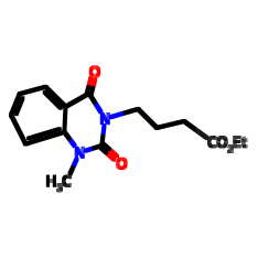 CCOC(=O)CCCn1c(=O)c2ccccc2n(C)c1=O